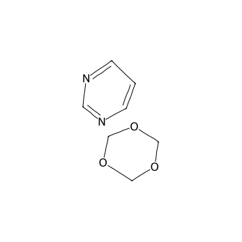 C1OCOCO1.c1cncnc1